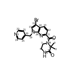 CC1(C)C(=O)NCCN1C(=O)c1ccc2c(Br)cn(Cc3ccncc3)c2n1